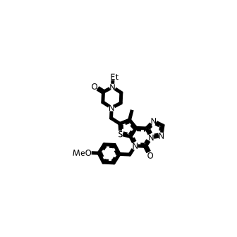 CCN1CCN(Cc2sc3c(c2C)c2ncnn2c(=O)n3Cc2ccc(OC)cc2)CC1=O